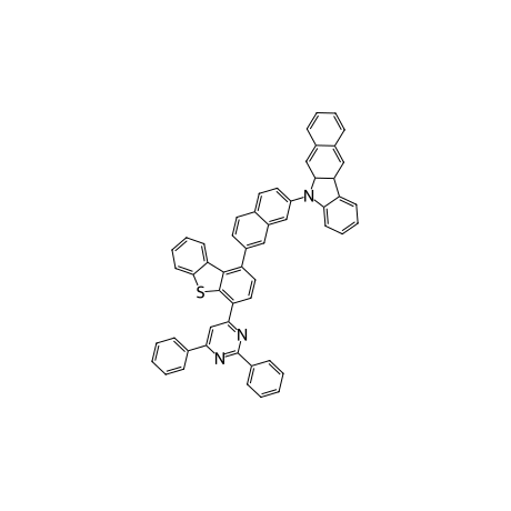 C1=c2ccccc2=CC2C1c1ccccc1N2c1ccc2ccc(-c3ccc(-c4cc(-c5ccccc5)nc(-c5ccccc5)n4)c4sc5ccccc5c34)cc2c1